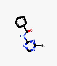 CCc1ncnc(NC(=O)c2ccccc2)n1